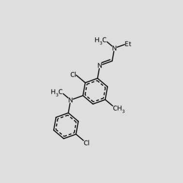 CCN(C)C=Nc1cc(C)cc(N(C)c2cccc(Cl)c2)c1Cl